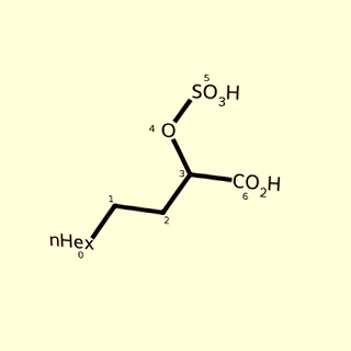 CCCCCCCCC(OS(=O)(=O)O)C(=O)O